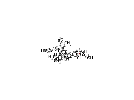 Cc1cc(N(CC(C)OCCO)CC(C)OCCOCCO)ccc1C(C#N)(c1ccc(N(C)C)cc1)c1ccc(N(CC(C)OCCO)CC(C)OCCOCCO)cc1C